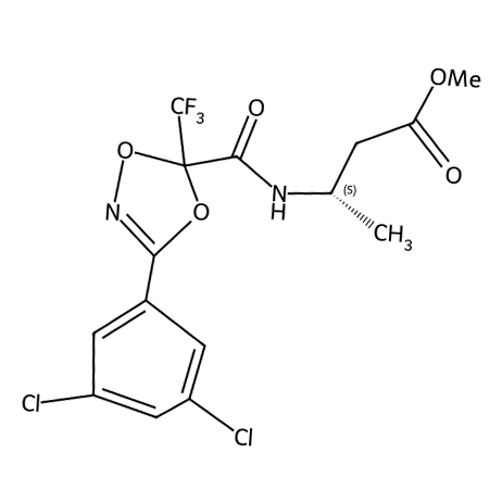 COC(=O)C[C@H](C)NC(=O)C1(C(F)(F)F)ON=C(c2cc(Cl)cc(Cl)c2)O1